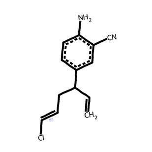 C=CC(C/C=C/Cl)c1ccc(N)c(C#N)c1